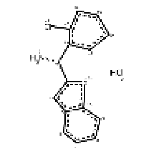 Cl.N[C@@H](c1cc2ccccc2s1)c1ccccc1Cl